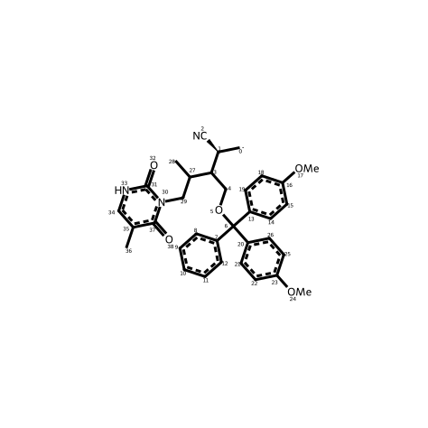 [CH2][C@H](C#N)C(COC(c1ccccc1)(c1ccc(OC)cc1)c1ccc(OC)cc1)C(C)Cn1c(=O)[nH]cc(C)c1=O